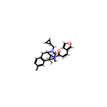 Cc1ccc2c(c1)[C@@]1(C)CCN(CC3CC3)C(C2)[C@H]1N(C)C(=O)/C=C\c1ccoc1